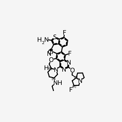 CCN[C@@H]1CC[C@H]2COc3c(Cl)c(-c4ccc(F)c5sc(N)c(C#N)c45)c(F)c4nc(OC[C@@]56CCCN5C[C@H](F)C6)nc(c34)N2C1